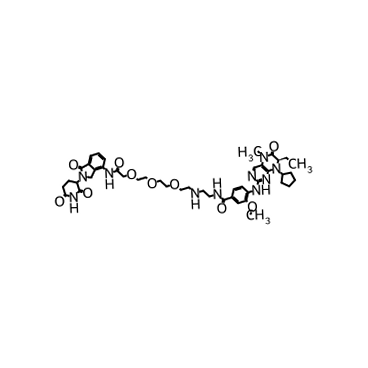 CC[C@@H]1C(=O)N(C)c2cnc(Nc3ccc(C(=O)NCCNCCOCCOCCOCC(=O)Nc4cccc5c4CN(C4CCC(=O)NC4=O)C5=O)cc3OC)nc2N1C1CCCC1